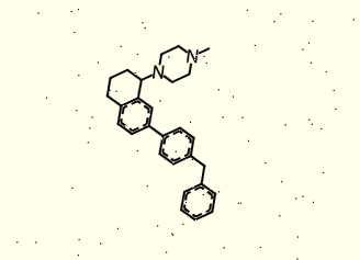 CN1CCN(C2CCCc3ccc(-c4ccc(Cc5ccccc5)cc4)cc32)CC1